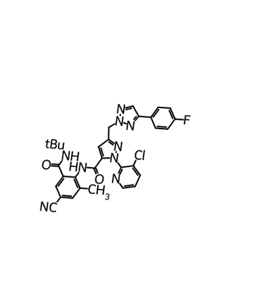 Cc1cc(C#N)cc(C(=O)NC(C)(C)C)c1NC(=O)c1cc(Cn2ncc(-c3ccc(F)cc3)n2)nn1-c1ncccc1Cl